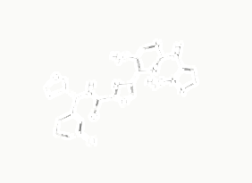 Cc1cnc(Nc2ccnn2C)nc1-c1coc(C(=O)NC(c2cccc(Cl)c2)[C@@H]2CCOC2)n1